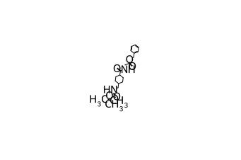 CC(C)(C)OC(=O)NCC1CCC(C(=O)NCC(=O)OCc2ccccc2)CC1